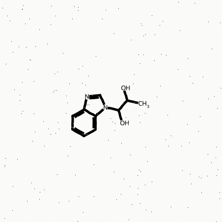 CC(O)C(O)n1cnc2ccccc21